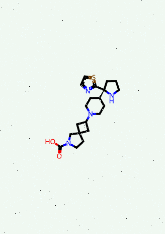 O=C(O)N1CCC2(CC(N3CCC([C@@]4(c5nccs5)CCCN4)CC3)C2)C1